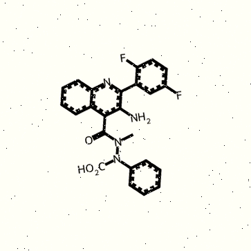 CN(C(=O)c1c(N)c(-c2cc(F)ccc2F)nc2ccccc12)N(C(=O)O)c1ccccc1